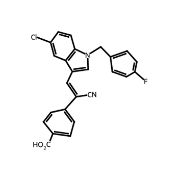 N#C/C(=C\c1cn(Cc2ccc(F)cc2)c2ccc(Cl)cc12)c1ccc(C(=O)O)cc1